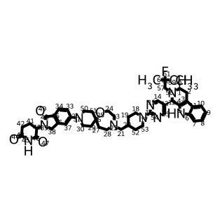 C[C@@H]1Cc2c([nH]c3ccccc23)[C@@H](c2cnc(N3CCC(CN4CCOC5(CC4)CCN(c4ccc6c(c4)CN(C4CCC(=O)NC4=O)C6=O)CC5)CC3)nc2)N1CC(C)(C)F